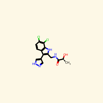 C[C@H](O)C(=O)NCc1[nH]c2c(Cl)c(Cl)ccc2c1-c1cn[nH]c1